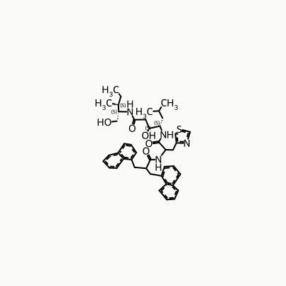 CC[C@H](C)[C@@H](CO)NC(=O)C[C@H](O)[C@H](CC(C)C)NC(=O)C(Cc1cscn1)NC(=O)C(Cc1cccc2ccccc12)Cc1cccc2ccccc12